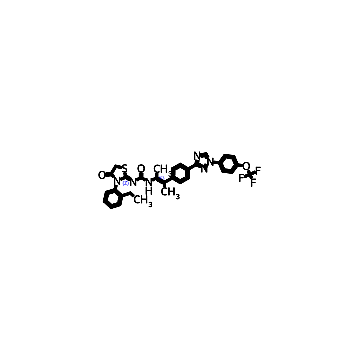 CCc1ccccc1N1C(=O)CS/C1=N\C(=O)N/C(C)=C(\C)c1ccc(-c2ncn(-c3ccc(OC(F)(F)F)cc3)n2)cc1